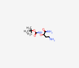 CC(C)(C)OC(=O)NOC(CCN)C(N)=O